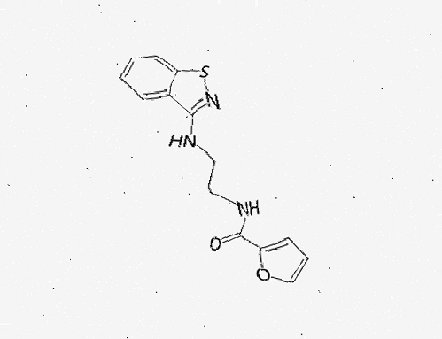 O=C(NCCNc1nsc2ccccc12)c1ccco1